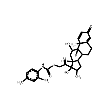 Cc1ccc(NC(=O)OCC(=O)C2(O)C(C)CC3C4CCC5=CC(=O)C=CC5(C)C4(F)C(O)CC32C)c(N)c1